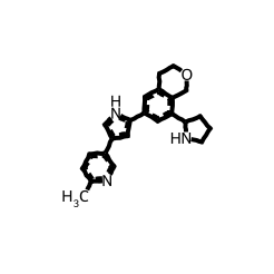 Cc1ccc(-c2c[nH]c(-c3cc4c(c(C5CCCN5)c3)COCC4)c2)cn1